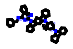 C=C(/C=C\C(=C/C)n1c2ccccc2c2ccccc21)n1c2ccccc2c2cc3c(cc21)c1ccccc1n3/C(=N/C(=N\Cc1ccccc1)c1ccccc1)NC